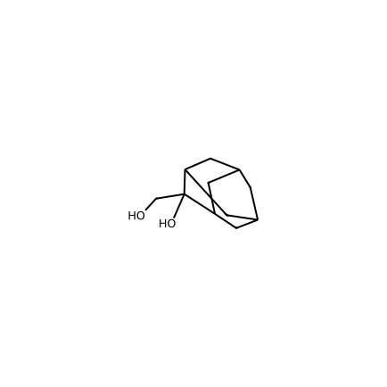 OCC1(O)C2CC3CC(C2)CC1C3